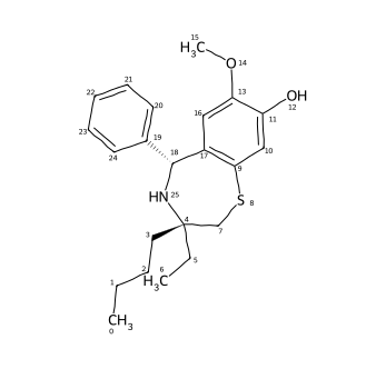 CCCC[C@]1(CC)CSc2cc(O)c(OC)cc2[C@@H](c2ccccc2)N1